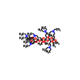 CCN(CC)CCC[Si](OC)(OC)O[Si](CCCN(CC)CC)(OC)O[Si](CCCN(CC)CC)(OC)O[Si](CCCN(CC)CC)(OC)O[Si](CCCN(CC)CC)(OC)O[Si](CCCN(CC)CC)(OC)OC